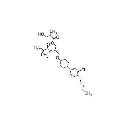 C=C(C)C(=O)OC(COC(=O)C(=C)CO)COC1CCC(c2ccc(CCCCC)c(Cl)c2)CC1